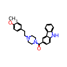 COc1ccc(CCN2CCN(C(=O)c3ccc4[nH]c5ccccc5c4c3)CC2)cc1